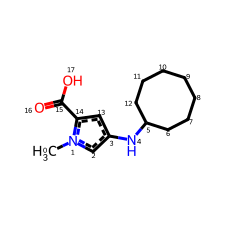 Cn1cc(NC2CCCCCCC2)cc1C(=O)O